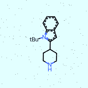 CC(C)(C)n1c(C2CCNCC2)cc2ccccc21